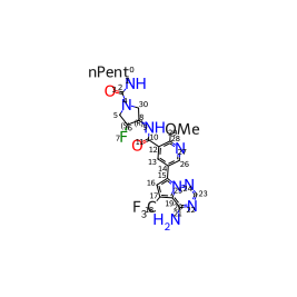 CCCCCNC(=O)N1C[C@H](F)[C@H](NC(=O)c2cc(-c3cc(C(F)(F)F)c4c(N)ncnn34)cnc2OC)C1